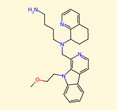 COCCn1c2ccccc2c2ccnc(CN(CCCCN)C3CCCc4cccnc43)c21